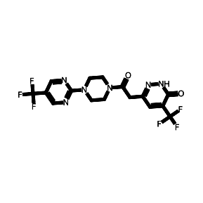 O=C(Cc1cc(C(F)(F)F)c(=O)[nH]n1)N1CCN(c2ncc(C(F)(F)F)cn2)CC1